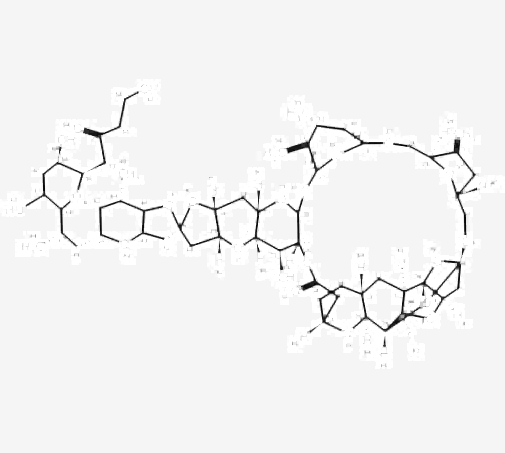 C=C1C[C@@H]2CC[C@@]34C[C@H]5O[C@@H]6[C@@H](C[C@H]7CC[C@H](CC(=O)O[C@H]8C(C[C@H]9O[C@@H](CC[C@@H]1O2)C[C@@H](C)C9=C)O[C@H]1C[C@H]2O[C@@]9(CC%10O[C@H](C[C@H](C)C%11O[C@H](CC(=O)CCO)[C@H](O)CC%11O)C[C@H](C)C%10O9)C[C@H]2O[C@H]1[C@@H]8C)O[C@@H]7[C@@H]6O3)[C@@H]5O4